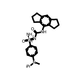 CC(C)N(C)c1ccc([S@](N)(=O)=NC(=O)Nc2c3c(cc4c2CCC4)CCC3)cc1